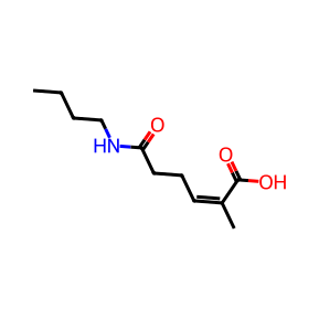 CCCCNC(=O)CCC=C(C)C(=O)O